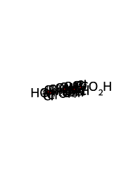 O=C(O)C(Cl)C(Cl)C(Cl)C(Cl)CCC(O)C(O)C(O)C(O)C(O)C(O)CCCC(Cl)C(Cl)C(Cl)C(O)Cl